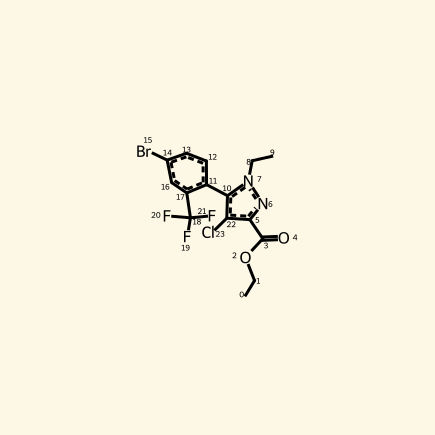 CCOC(=O)c1nn(CC)c(-c2ccc(Br)cc2C(F)(F)F)c1Cl